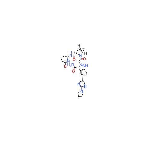 NC(=O)C1c2cc(-c3cnc(N4CCCC4)nc3)ccc2NN1CC(=O)N1[C@@H]2C[C@H]2C[C@H]1C(=O)Nc1cccc(Br)n1